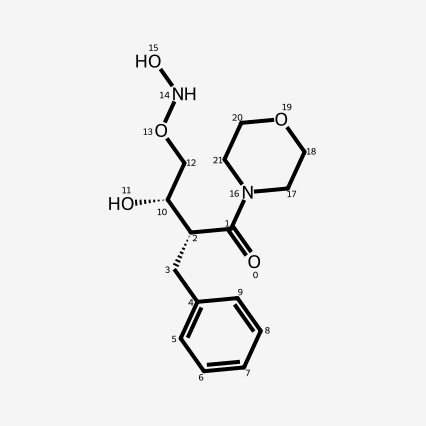 O=C([C@H](Cc1ccccc1)[C@H](O)CONO)N1CCOCC1